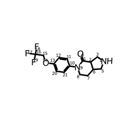 O=C1C2CNCC2CCN1c1ccc(OCC(F)(F)F)cc1